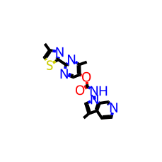 Cc1csc(-c2ncc(OC(=O)Nn3cc(C)c4ccncc43)c(C)n2)n1